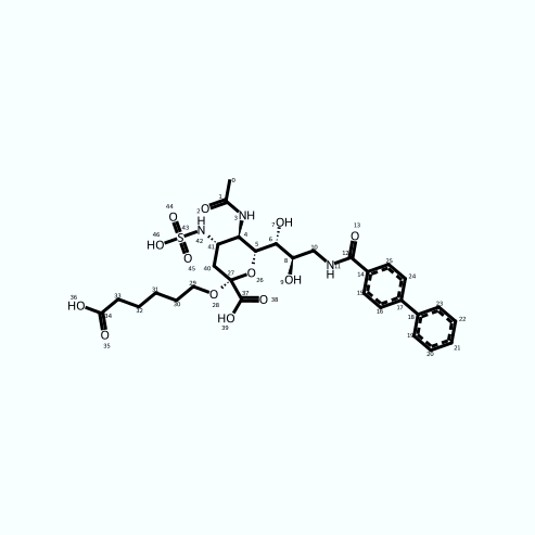 CC(=O)N[C@H]1[C@H]([C@H](O)[C@H](O)CNC(=O)c2ccc(-c3ccccc3)cc2)O[C@@](OCCCCCC(=O)O)(C(=O)O)C[C@@H]1NS(=O)(=O)O